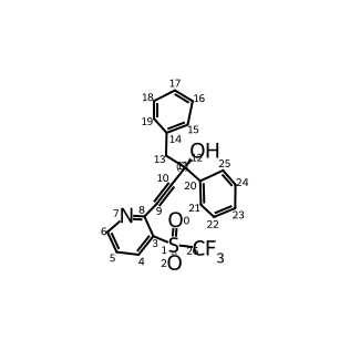 O=S(=O)(c1cccnc1C#C[C@](O)(Cc1ccccc1)c1ccccc1)C(F)(F)F